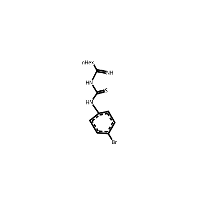 CCCCCCC(=N)NC(=S)Nc1ccc(Br)cc1